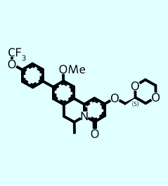 COc1cc2c(cc1-c1ccc(OC(F)(F)F)cc1)CC(C)n1c-2cc(OC[C@@H]2COCCO2)cc1=O